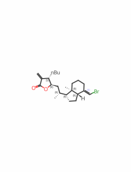 C=C1C(=O)O[C@H](C[C@@H](C)[C@H]2CC[C@H]3/C(=C/Br)CCC[C@]23C)[C@H]1CCCC